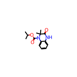 CC(C)OC(=O)N1c2ccccc2NC(=O)C1(C)C